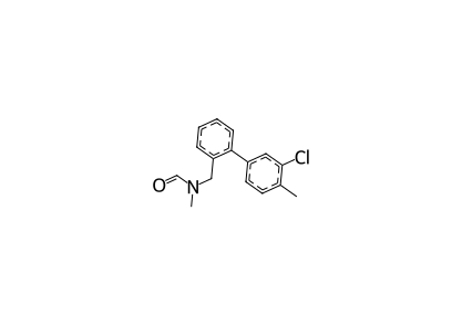 Cc1ccc(-c2ccccc2CN(C)C=O)cc1Cl